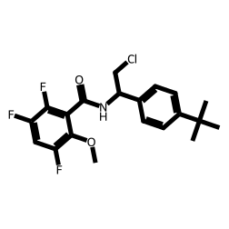 COc1c(F)cc(F)c(F)c1C(=O)NC(CCl)c1ccc(C(C)(C)C)cc1